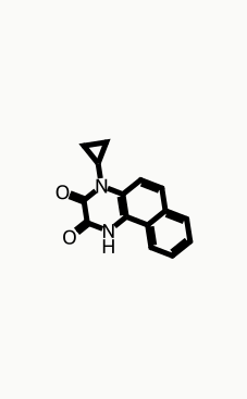 O=c1[nH]c2c3ccccc3ccc2n(C2CC2)c1=O